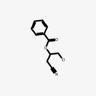 N#CCC(CCl)OC(=O)c1ccccc1